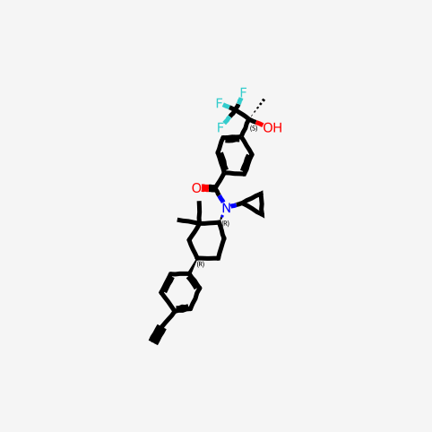 C#Cc1ccc([C@@H]2CC[C@@H](N(C(=O)c3ccc([C@](C)(O)C(F)(F)F)cc3)C3CC3)C(C)(C)C2)cc1